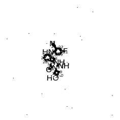 C[C@]1(O)C[C@@H](N2C(=N)N[C@]3(CC2=O)Cc2c(Nc4ccc(F)cc4C#N)cccc23)C1